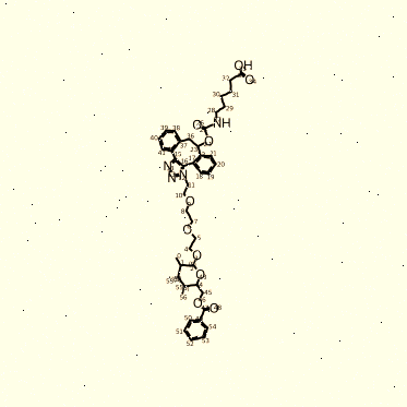 CC1[C@@H](OCCOCCOCCn2nnc3c2-c2ccccc2C(OC(=O)NCCCCCC(=O)O)Cc2ccccc2-3)OC(COC(=O)c2ccccc2)[C@@H](C)[C@@H]1C